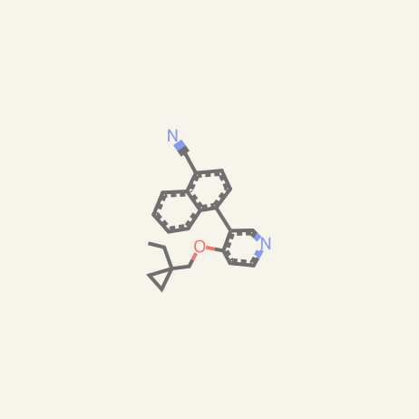 CCC1(COc2ccncc2-c2ccc(C#N)c3ccccc23)CC1